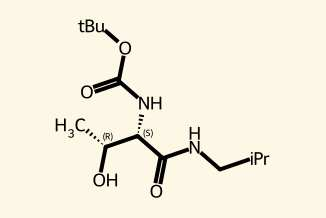 CC(C)CNC(=O)[C@@H](NC(=O)OC(C)(C)C)[C@@H](C)O